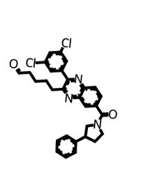 O=CCCCCc1nc2cc(C(=O)N3CCC(c4ccccc4)C3)ccc2nc1-c1cc(Cl)cc(Cl)c1